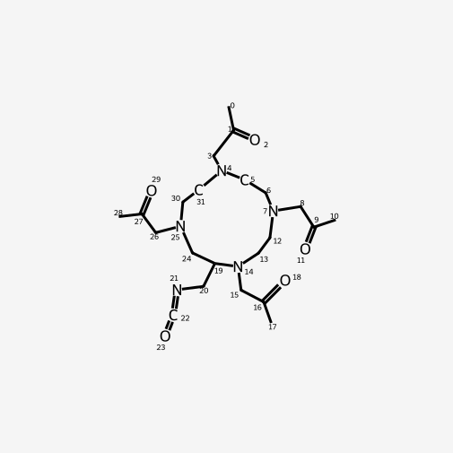 CC(=O)CN1CCN(CC(C)=O)CCN(CC(C)=O)C(CN=C=O)CN(CC(C)=O)CC1